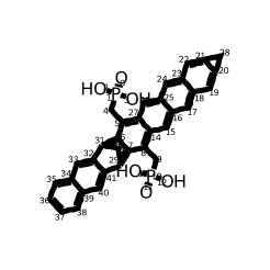 O=P(O)(O)Cc1c2c(c(CP(=O)(O)O)c3cc4cc5cc6c(cc5cc4cc13)C6)=C1CC=2c2cc3ccccc3cc21